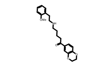 COc1ccccc1CCNCCCCC(=O)c1ccc2c(c1)OCCO2